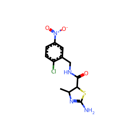 CC1N=C(N)SC1C(=O)NCc1cc([N+](=O)[O-])ccc1Cl